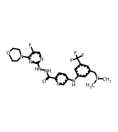 CN(C)Cc1cc(Nc2ccc(C(=O)NNc3ncc(F)c(N4CCOCC4)n3)nc2)cc(C(F)(F)F)c1